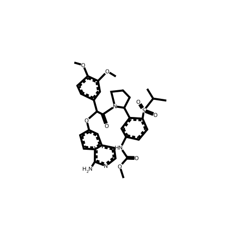 COC(=O)Nc1ccc(S(=O)(=O)C(C)C)c(C2CCCN2C(=O)C(Oc2ccc3c(N)nccc3c2)c2ccc(OC)c(OC)c2)c1